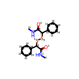 CNC(=O)C(SSC(C(=O)NC)c1ccccc1)c1ccccc1